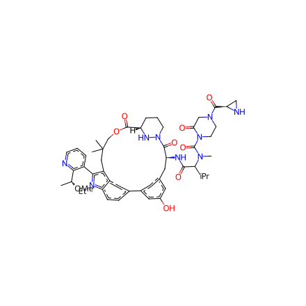 CCn1c(-c2cccnc2[C@H](C)OC)c2c3cc(ccc31)-c1cc(O)cc(c1)C[C@H](NC(=O)C(C(C)C)N(C)C(=O)N1CCN(C(=O)[C@H]3CN3)CC1=O)C(=O)N1CCC[C@H](N1)C(=O)OCC(C)(C)C2